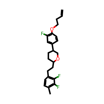 C=CCCOc1ccc(C2CCC(CCc3ccc(C)c(F)c3F)OC2)cc1F